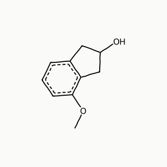 COc1cccc2c1CC(O)C2